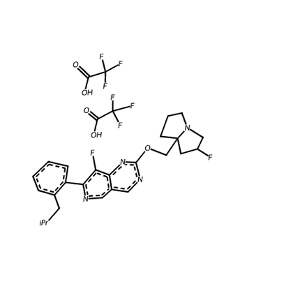 CC(C)Cc1ccccc1-c1ncc2cnc(OCC34CCCN3CC(F)C4)nc2c1F.O=C(O)C(F)(F)F.O=C(O)C(F)(F)F